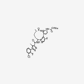 COC(=O)Nc1ccc2c(c1)NC(=O)[C@H](C)CCC[C@H](NC(=O)c1nnn(-c3cccc(Cl)c3F)c1C)c1cc-2c(F)cn1